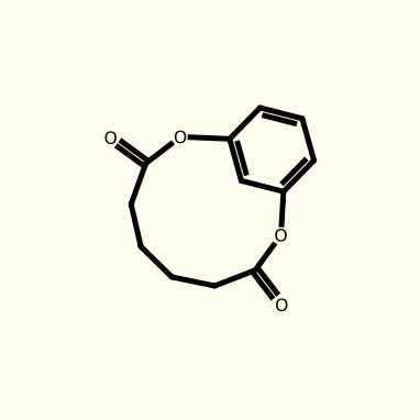 O=C1CCCCC(=O)Oc2cccc(c2)O1